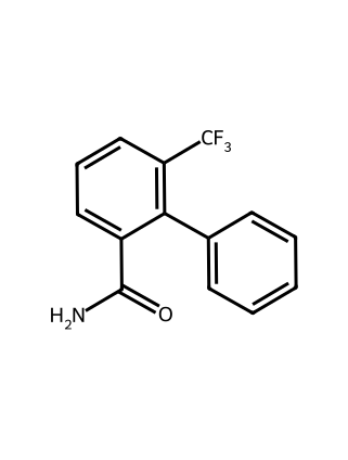 NC(=O)c1cccc(C(F)(F)F)c1-c1ccccc1